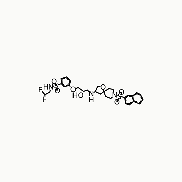 O=S(=O)(NCC(F)F)c1cccc(OC[C@@H](O)CNC2COC3(CCN(S(=O)(=O)c4ccc5ccccc5c4)CC3)C2)c1